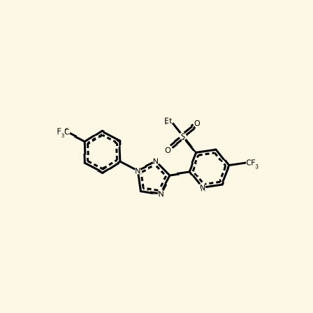 CCS(=O)(=O)c1cc(C(F)(F)F)cnc1-c1ncn(-c2ccc(C(F)(F)F)cc2)n1